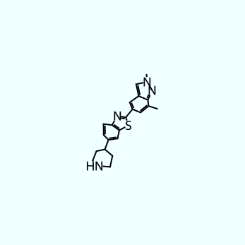 Cc1cc(-c2nc3ccc(C4CCNCC4)cc3s2)cc2cn(C)nc12